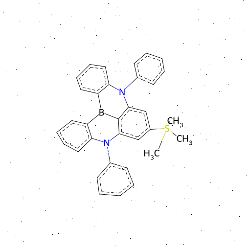 CS(C)(C)c1cc2c3c(c1)N(c1ccccc1)c1ccccc1B3c1ccccc1N2c1ccccc1